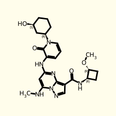 CNc1cc(Nc2cccn([C@@H]3CCC[C@H](O)C3)c2=O)nc2c(C(=O)N[C@@H]3CC[C@H]3OC)cnn12